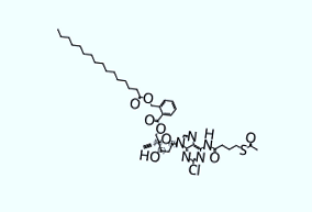 C#C[C@]1(COC(=O)c2ccccc2COC(=O)CCCCCCCCCCCCCCC)O[C@@H](n2cnc3c(NC(=O)CCCSC(C)=O)nc(Cl)nc32)C[C@@H]1O